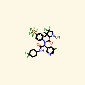 CC1(C)[C@H](C(=O)N(c2ccc(S(F)(F)(F)(F)F)cc2)C(C(=O)NC2CCC(F)(F)CC2)c2cncc(F)c2)N(C#N)CC1(F)F